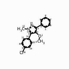 COc1c(-c2ccccc2)nn(C)c1-c1ccc(Cl)cc1